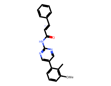 COc1cccc(-c2cnc(NC(=O)/C=C/c3ccccc3)nc2)c1C